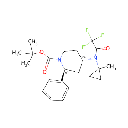 CC(C)(C)OC(=O)N1CC[C@H](N(C(=O)C(F)(F)F)C2(C)CC2)C[C@H]1c1ccccc1